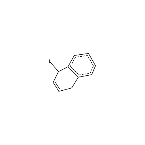 IC1C=C[CH]c2ccccc21